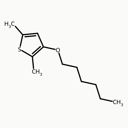 CCCCCCOc1cc(C)sc1C